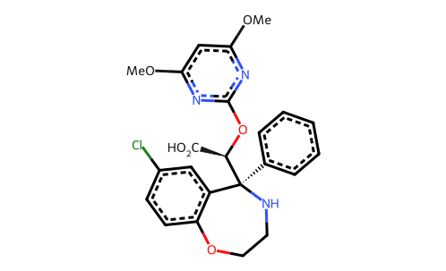 COc1cc(OC)nc(O[C@H](C(=O)O)[C@@]2(c3ccccc3)NCCOc3ccc(Cl)cc32)n1